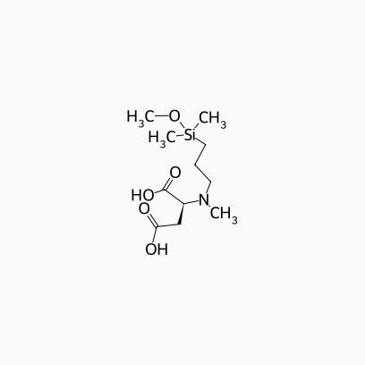 CO[Si](C)(C)CCCN(C)[C@@H](CC(=O)O)C(=O)O